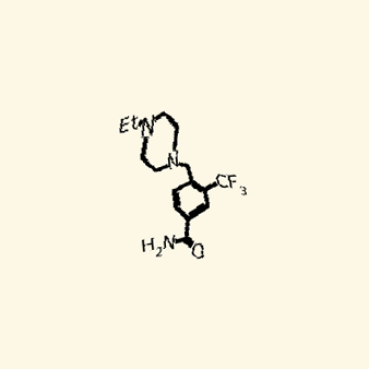 CCN1CCN(Cc2ccc(C(N)=O)cc2C(F)(F)F)CC1